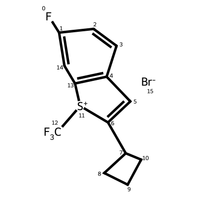 Fc1ccc2cc(C3CCC3)[s+](C(F)(F)F)c2c1.[Br-]